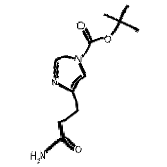 CC(C)(C)OC(=O)n1cnc(CCC(N)=O)c1